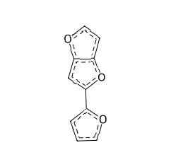 c1coc(-c2cc3occc3o2)c1